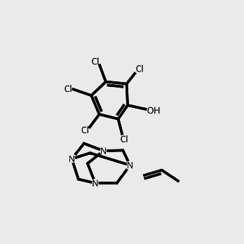 C1N2CN3CN1CN(C2)C3.C=CC.Oc1c(Cl)c(Cl)c(Cl)c(Cl)c1Cl